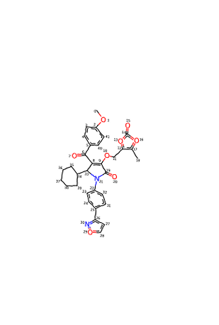 COc1ccc(C(=O)C2=C(OCc3oc(=O)oc3C)C(=O)N(c3ccc(-c4ccon4)cc3)C2C2CCCCC2)cc1